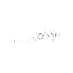 NNC(=O)C(=O)Nc1ccc(N2CCC(CC(=O)O)CC2)nc1